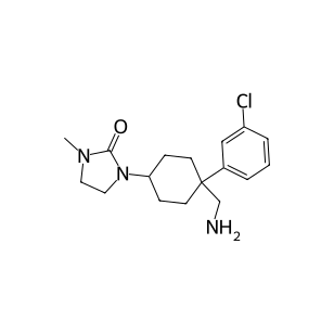 CN1CCN(C2CCC(CN)(c3cccc(Cl)c3)CC2)C1=O